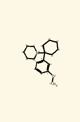 COc1cccc(C2(N3CCCCC3)CCCCC2)c1